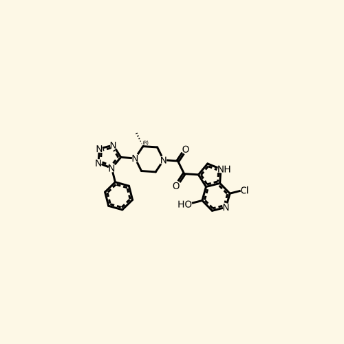 C[C@@H]1CN(C(=O)C(=O)c2c[nH]c3c(Cl)ncc(O)c23)CCN1c1nnnn1-c1ccccc1